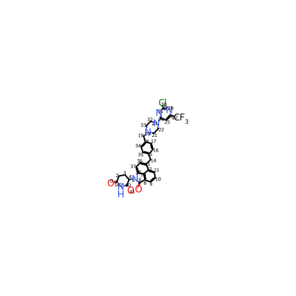 O=C1CCC(N2C(=O)c3cccc4c(Cc5ccc(CN6CCN(c7cc(C(F)(F)F)nc(Cl)n7)CC6)cc5)ccc2c34)C(=O)N1